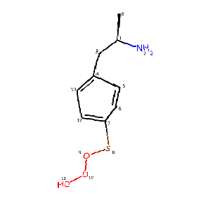 C[C@@H](N)Cc1ccc(SOOO)cc1